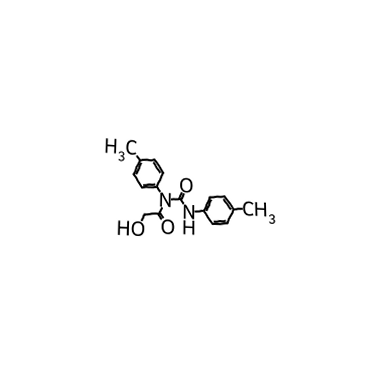 Cc1ccc(NC(=O)N(C(=O)CO)c2ccc(C)cc2)cc1